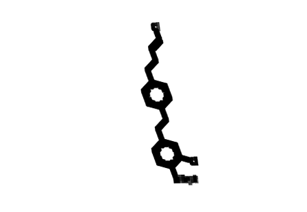 CCCCCCCc1ccc(CCc2ccc(CC/C=C/Cl)cc2)cc1Cl